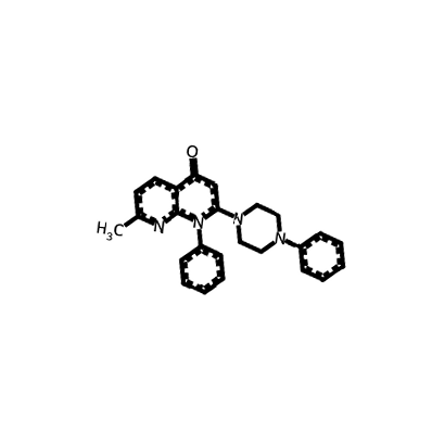 Cc1ccc2c(=O)cc(N3CCN(c4ccccc4)CC3)n(-c3ccccc3)c2n1